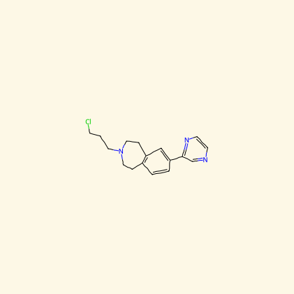 ClCCCN1CCc2ccc(-c3cnccn3)cc2CC1